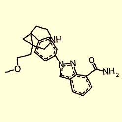 COCCC12CNCCC1(c1ccc(-n3cc4cccc(C(N)=O)c4n3)cc1)C2